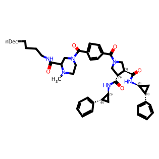 CCCCCCCCCCCCCCNC(=O)C1CN(C(=O)c2ccc(C(=O)N3C[C@@H](C(=O)N[C@H]4C[C@@H]4c4ccccc4)[C@H](C(=O)N[C@H]4C[C@@H]4c4ccccc4)C3)cc2)CCN1C